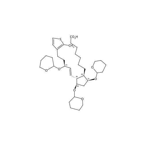 Cc1sccc1CC[C@@H](C=C[C@@H]1[C@@H](CCCCCCC(=O)O)[C@@H](OC2CCCCO2)C[C@H]1OC1CCCCO1)OC1CCCCO1